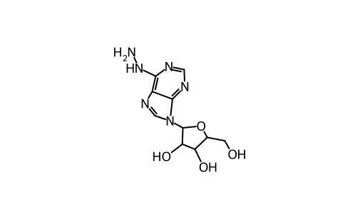 NNc1ncnc2c1ncn2C1OC(CO)C(O)C1O